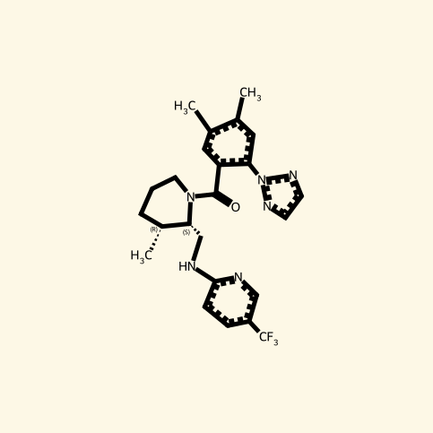 Cc1cc(C(=O)N2CCC[C@@H](C)[C@H]2CNc2ccc(C(F)(F)F)cn2)c(-n2nccn2)cc1C